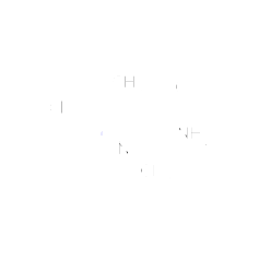 CC[C@@](C)(N)/N=C(\C)Cl